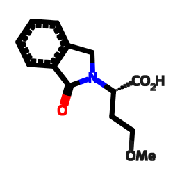 COCC[C@@H](C(=O)O)N1Cc2ccccc2C1=O